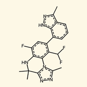 Cc1n[nH]c2c(-c3cc(F)c4c(c3C(F)F)-n3c(C)nnc3C(C)(C)N4)cccc12